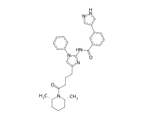 C[C@@H]1CCC[C@H](C)N1C(=O)CCCc1cn(-c2ccccc2)c(NC(=O)c2cccc(-c3cn[nH]c3)c2)n1